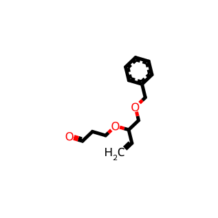 C=CC(COCc1ccccc1)OCCC=O